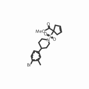 COC(=O)C1(S(=O)(=O)N2CCC(c3ccc(Br)c(C)c3)CC2)CC=CC1